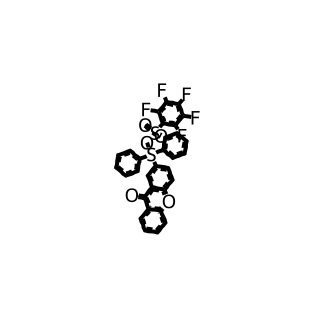 O=c1c2ccccc2oc2ccc(S(OS(=O)(=O)c3c(F)c(F)c(F)c(F)c3F)(c3ccccc3)c3ccccc3)cc12